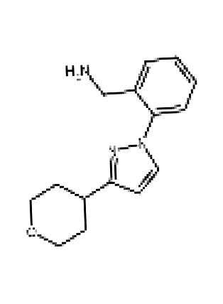 NCc1ccccc1-n1ccc(C2CCOCC2)n1